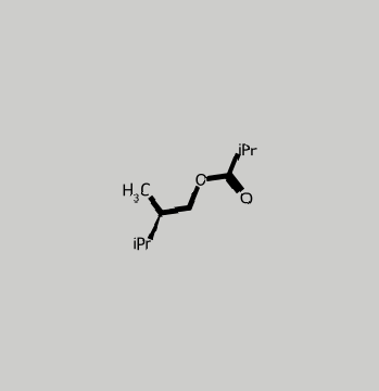 CC(C)C(=O)OC[C@H](C)C(C)C